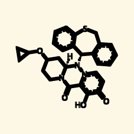 O=C1c2c(O)c(=O)ccn2N([C@H]2c3ccccc3CSc3ccccc32)[C@@H]2CC(OC3CC3)CCN12